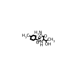 Cc1ccc(S(=O)(=O)NC(C(=O)ON)C(C)O)cc1